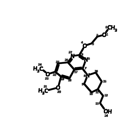 COCCOc1nc(N2CCC(CCO)CC2)c2cc(OC)c(OC)cc2n1